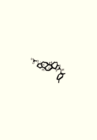 CCC(=O)O[C@H]1CC[C@H]2[C@@H]3CC=C4c5sc(Nc6ccc(C)cc6C)nc5CC[C@]4(C)[C@H]3CC[C@]12C